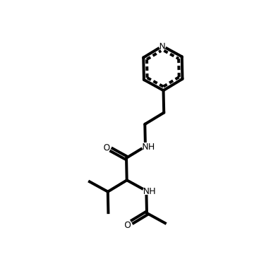 CC(=O)NC(C(=O)NCCc1ccncc1)C(C)C